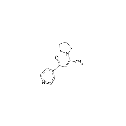 C/C(=C/C(=O)c1ccncc1)N1CCCC1